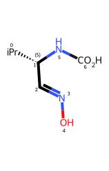 CC(C)[C@@H](C=NO)NC(=O)O